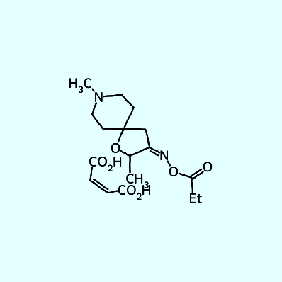 CCC(=O)O/N=C1/CC2(CCN(C)CC2)OC1C.O=C(O)/C=C\C(=O)O